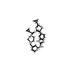 O=C(C1CC1)N1CCN(Cc2ccnc(Nc3nc4ccc(-c5cnc(C6CC6)nc5)cc4[nH]3)c2)CC1